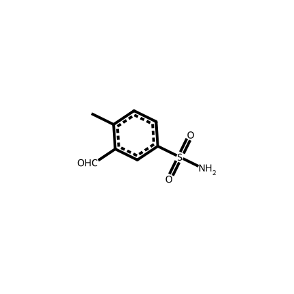 Cc1ccc(S(N)(=O)=O)cc1C=O